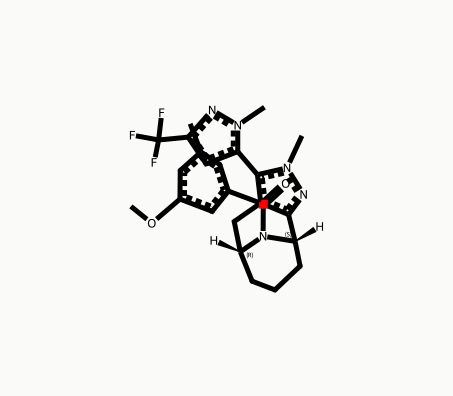 COc1cc(C)cc(C(=O)N2[C@@H]3CCC[C@H]2c2nn(C)c(-c4cc(C(F)(F)F)nn4C)c2C3)c1